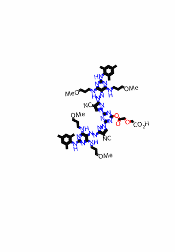 [C-]#[N+]c1cn(-c2nc(OC(=O)COCC(=O)O)nc(-n3cc(C#N)c(N=Nc4c(NCCCOC)nc(Nc5c(C)cc(C)cc5C)nc4NCCCOC)n3)n2)nc1N=Nc1c(NCCCOC)nc(Nc2c(C)cc(C)cc2C)nc1NCCCOC